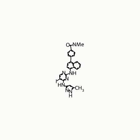 CNC(=O)c1ccc(-c2ccc(Nc3ncc(I)c(Nc4cc(C)[nH]n4)n3)c3ccccc23)cc1